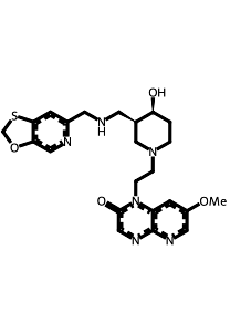 COc1cnc2ncc(=O)n(CCN3CC[C@H](O)[C@H](CNCc4cc5c(cn4)OCS5)C3)c2c1